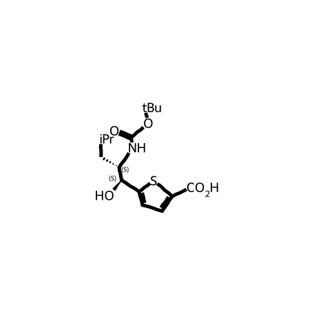 CC(C)C[C@H](NC(=O)OC(C)(C)C)[C@H](O)c1ccc(C(=O)O)s1